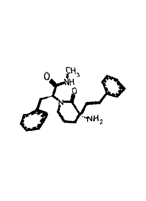 CNC(=O)[C@H](Cc1ccccc1)N1CCC[C@](N)(CCc2ccccc2)C1=O